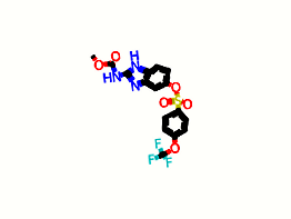 COC(=O)Nc1nc2cc(OS(=O)(=O)c3ccc(OC(F)(F)F)cc3)ccc2[nH]1